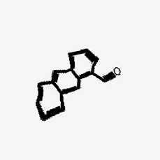 O=Cc1cccc2cc3ccccc3[c]c12